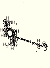 Nc1nc2c(ncn2[C@@H]2O[C@@H]3COP(=O)(O)O[C@H]4[C@@H](NC(=O)CCOCCOCCOCCOCCNC(=O)CCN5C(=O)C=CC5=O)[C@H](n5cnc6c(=O)[nH]c(N)nc65)O[C@@H]4COP(=O)(O)O[C@H]3[C@H]2O)c(=O)[nH]1